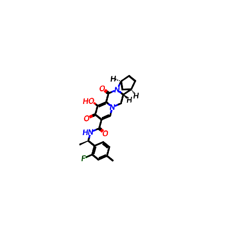 Cc1ccc([C@@H](C)NC(=O)c2cn3c(c(O)c2=O)C(=O)N2[C@H]4CC[C@H](C4)[C@@H]2C3)c(F)c1